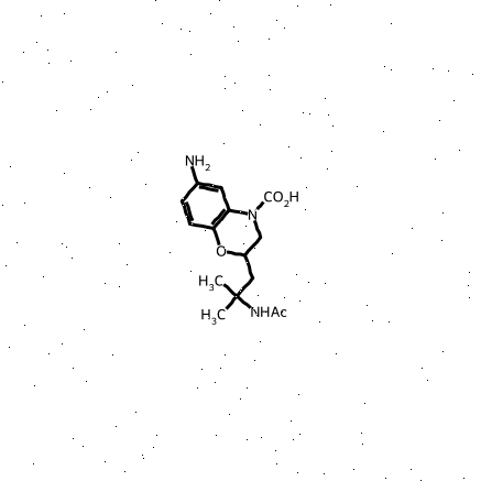 CC(=O)NC(C)(C)CC1CN(C(=O)O)c2cc(N)ccc2O1